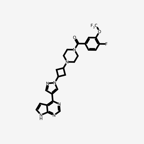 O=C(c1ccc(F)c(OC(F)(F)F)c1)N1CCN(C2C[C](n3cc(-c4ncnc5[nH]ccc45)cn3)C2)CC1